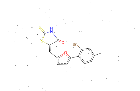 Cc1ccc(-c2ccc(C=C3SC(=S)NC3=O)o2)c(Br)c1